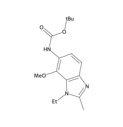 CCn1c(C)nc2ccc(NC(=O)OC(C)(C)C)c(OC)c21